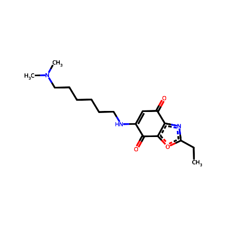 CCc1nc2c(o1)C(=O)C(NCCCCCCN(C)C)=CC2=O